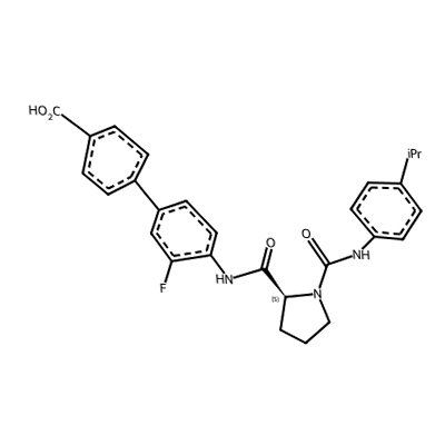 CC(C)c1ccc(NC(=O)N2CCC[C@H]2C(=O)Nc2ccc(-c3ccc(C(=O)O)cc3)cc2F)cc1